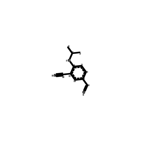 CC(C)Oc1ccc(C=O)cc1C#N